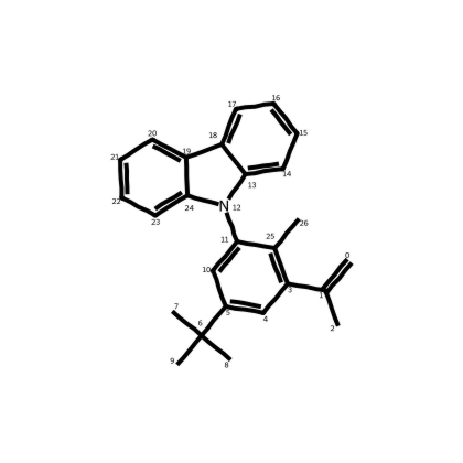 C=C(C)c1cc(C(C)(C)C)cc(-n2c3ccccc3c3ccccc32)c1C